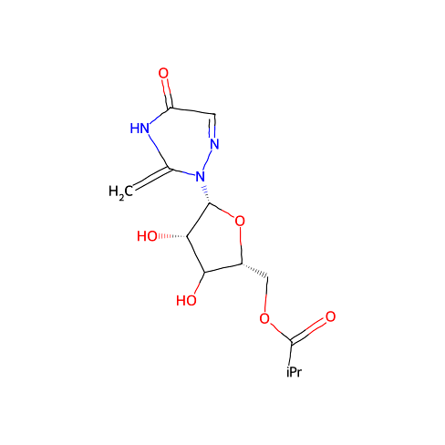 C=C1NC(=O)C=NN1[C@@H]1O[C@H](COC(=O)C(C)C)C(O)[C@@H]1O